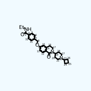 CCNC(=O)c1ccc(COc2ccc3c(c2)CCN(C2CCN(C4CCC4)CC2)C3=O)cc1